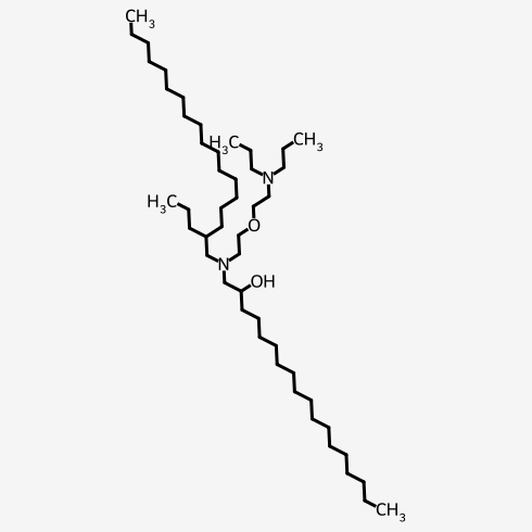 CCCCCCCCCCCCCCCCC(O)CN(CCOCCN(CCC)CCC)CC(CCC)CCCCCCCCCCCCCCCC